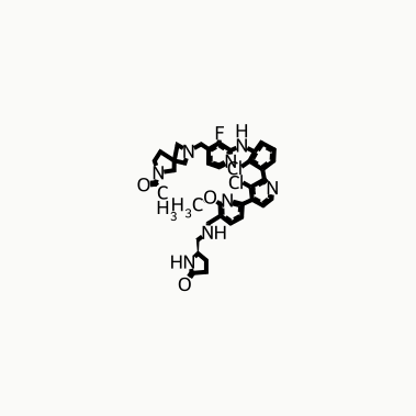 COc1nc(-c2ccnc(-c3cccc(Nc4nccc(CN5CC6(CCN(C(C)=O)C6)C5)c4F)c3Cl)c2Cl)ccc1CNC[C@H]1CCC(=O)N1